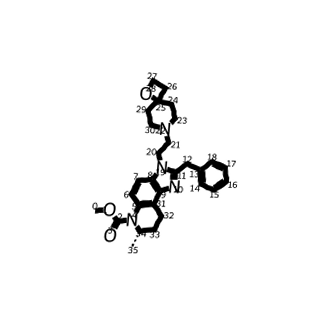 COC(=O)N1c2ccc3c(nc(Cc4ccccc4)n3CCN3CCC4(CCO4)CC3)c2CC[C@@H]1C